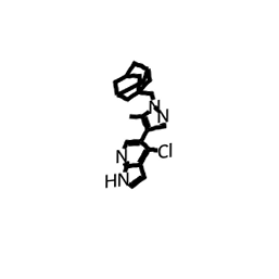 Cc1c(-c2cnc3[nH]ccc3c2Cl)cnn1CC12CC3CC(CC(C3)C1)C2